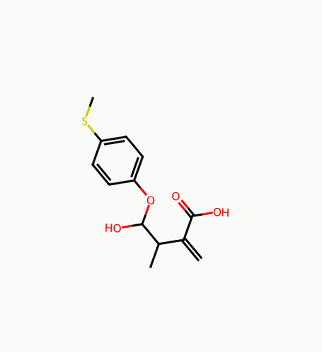 C=C(C(=O)O)C(C)C(O)Oc1ccc(SC)cc1